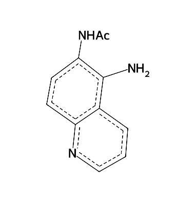 CC(=O)Nc1ccc2ncccc2c1N